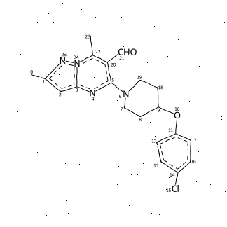 Cc1cc2nc(N3CCC(Oc4ccc(Cl)cc4)CC3)c(C=O)c(C)n2n1